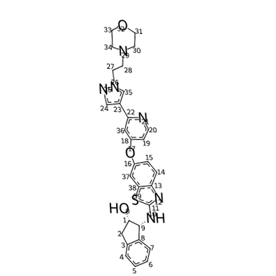 O[C@H]1Cc2ccccc2[C@H]1Nc1nc2ccc(Oc3ccnc(-c4cnn(CCN5CCOCC5)c4)c3)cc2s1